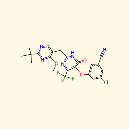 COc1nc(C(C)(C)C)ncc1Cc1nc(C(F)(F)F)c(Oc2cc(Cl)cc(C#N)c2)c(=O)[nH]1